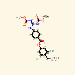 CC(C)(C)OC(=O)/N=C(/NC(=O)OC(C)(C)C)Nc1ccc(C(=O)Oc2cc(F)c(CC(=O)O)c(F)c2)cc1